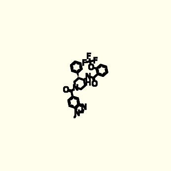 Cn1cnc2cc(C(=O)N3CC[C@@H](NC(=O)c4ccccc4OC(F)(F)F)[C@@H](c4ccccc4)C3)ccc21